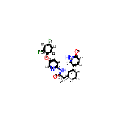 C[C@@H](C(=O)Nc1ccc(Oc2ccc(F)cc2F)cn1)[C@H]1CCC[C@@H](c2ccc(=O)[nH]c2)C1